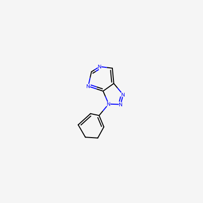 C1=CC(n2nnc3cncnc32)=CCC1